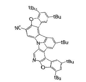 CC(C)(C)c1cc(C(C)(C)C)c2oc3ncc4c(c5cc(C(C)(C)C)cc6c7c8c(oc9c(C(C)(C)C)cc(C(C)(C)C)cc98)c(C#N)cc7n4c56)c3c2c1